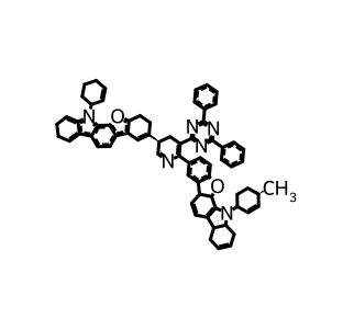 C[C@@H]1C=CC(N2C3=C(C=CC4c5cc(C6=C(c7nc(-c8ccccc8)nc(-c8ccccc8)n7)C[C@H](C7=Cc8c(oc9c8ccc8c%10c(n(C%11C=CCCC%11)c89)=CCCC=%10)CC7)C=N6)ccc5OC34)C3CC=CCC32)CC1